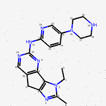 CCn1c(C)nc2c1-c1nc(Nc3ccc(N4CCNCC4)cn3)ncc1C2